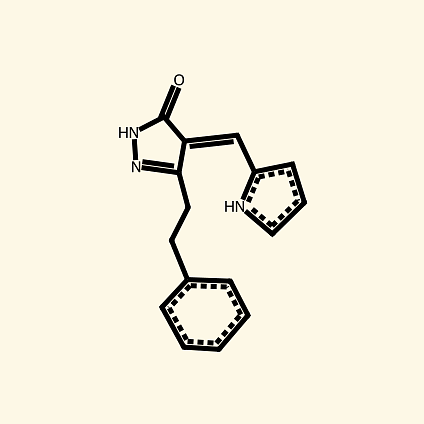 O=C1NN=C(CCc2ccccc2)C1=Cc1ccc[nH]1